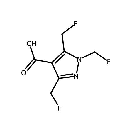 O=C(O)c1c(CF)nn(CF)c1CF